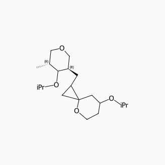 CC(C)OC1CCOC2(C1)CC2C[C@@H]1COC[C@@H](C)C1OC(C)C